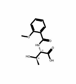 COc1ccccc1C(=O)N[C@H](C(=O)O)[C@@H](C)O